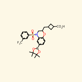 CC1(C)OB(c2ccc3c(c2)N(S(=O)(=O)c2cccc(C(F)(F)F)c2)CC(CC2CC(C(=O)O)C2)O3)OC1(C)C